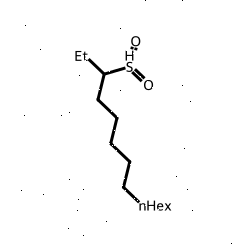 [CH2]CC(CCCCCCCCCCC)[SH](=O)=O